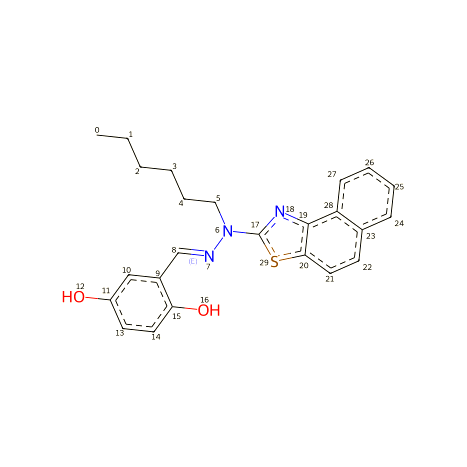 CCCCCCN(/N=C/c1cc(O)ccc1O)c1nc2c(ccc3ccccc32)s1